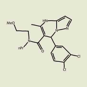 CCCN(CCOC)C(=O)C1=C(C)Nc2ccnn2C1c1ccc(Cl)c(Cl)c1